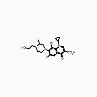 CC1CN(c2c(F)cc3c(=O)c(C(=O)O)cn(C4CC4)c3c2Cl)CCN1CCO